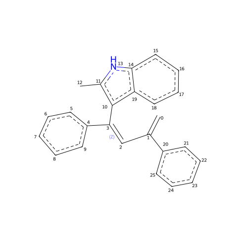 C=C(/C=C(/c1ccccc1)c1c(C)[nH]c2ccccc12)c1ccccc1